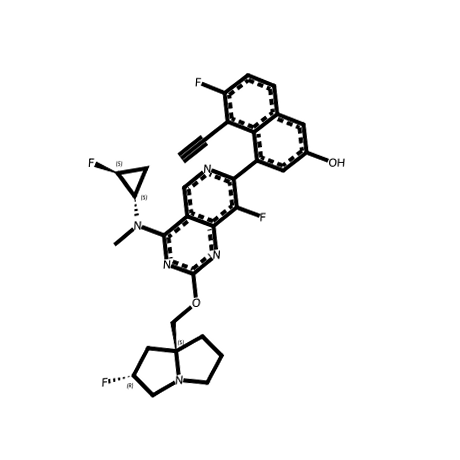 C#Cc1c(F)ccc2cc(O)cc(-c3ncc4c(N(C)[C@H]5C[C@@H]5F)nc(OC[C@@]56CCCN5C[C@H](F)C6)nc4c3F)c12